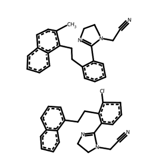 Cc1ccc2ccccc2c1CCc1ccccc1C1=NCCN1CC#N.N#CCN1CCN=C1c1cccc(Cl)c1CCc1cccc2ccccc12